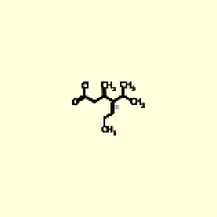 C=C(CC(=O)Cl)/C(=C\CC)C(C)C